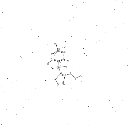 CCCC1=C([Si](C)(C)c2c(C)cc(C)cc2C)CC=C1